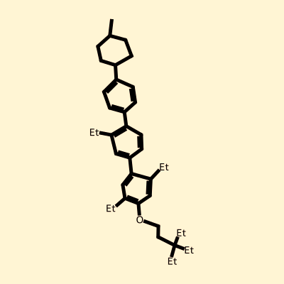 CCc1cc(-c2ccc(-c3ccc(C4CCC(C)CC4)cc3)c(CC)c2)c(CC)cc1OCCC(CC)(CC)CC